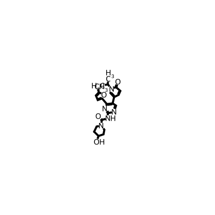 Cc1ccc(-c2nc(NC(=O)N3CCC(O)CC3)ncc2-c2ccc(=O)n(C(C)C)c2)o1